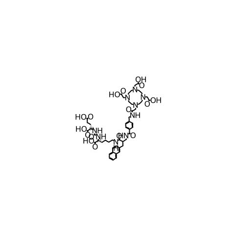 O=C(O)CC[C@H](NC(=O)N[C@@H](CCCCNC(=O)C(CNC(=O)c1ccc(CNC(=O)CN2CCN(CC(=O)O)CCN(CC(=O)O)CCN(CC(=O)O)CC2)cc1)Cc1ccc2ccccc2c1)C(=O)O)C(=O)O